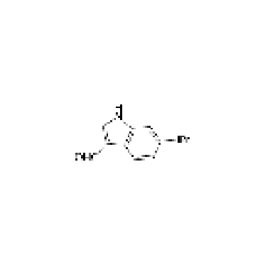 CC(C)c1ccc2c(C=O)c[nH]c2c1